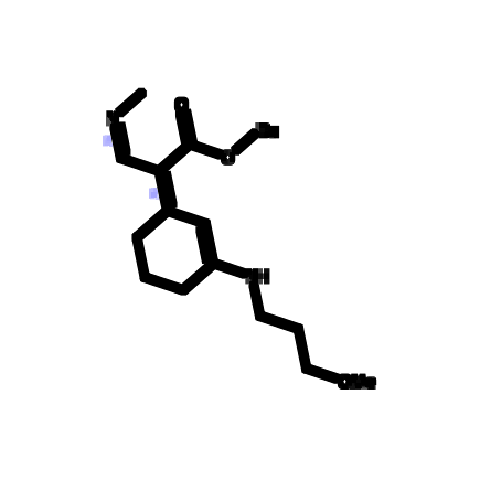 CCC(C)OC(=O)C(/C=N\C)=C1\C=C(NCCCOC)CCC1